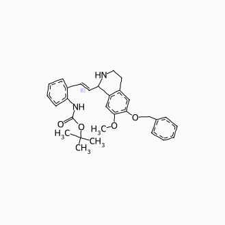 COc1cc2c(cc1OCc1ccccc1)CCNC2/C=C/c1ccccc1NC(=O)OC(C)(C)C